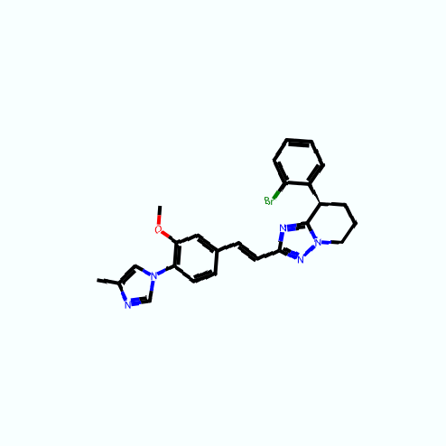 COc1cc(C=Cc2nc3n(n2)CCC[C@@H]3c2ccccc2Br)ccc1-n1cnc(C)c1